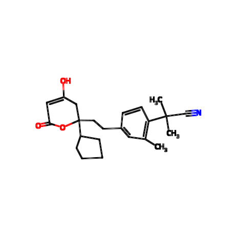 Cc1cc(CCC2(C3CCCC3)CC(O)=CC(=O)O2)ccc1C(C)(C)C#N